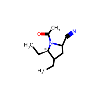 CCC1CC(C#N)N(C(C)=O)[C@@H]1CC